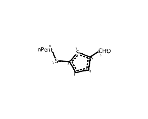 CCCCCSc1ccc(C=O)s1